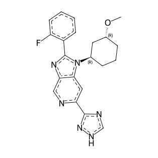 CO[C@@H]1CCC[C@@H](n2c(-c3ccccc3F)nc3cnc(-c4nc[nH]n4)cc32)C1